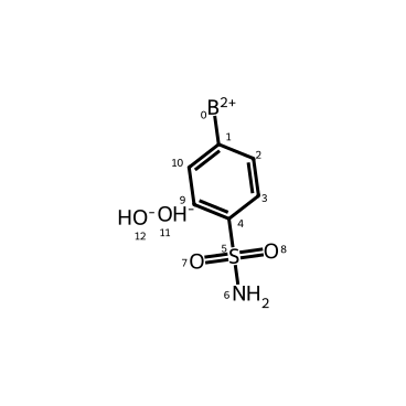 [B+2]c1ccc(S(N)(=O)=O)cc1.[OH-].[OH-]